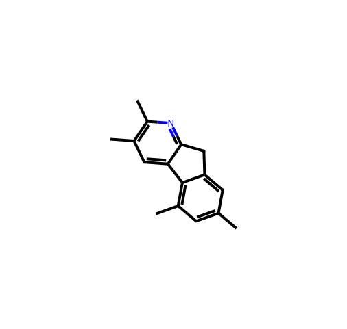 Cc1cc(C)c2c(c1)Cc1nc(C)c(C)cc1-2